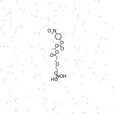 CC(OC(=O)CCOCCON(O)O)OC(=O)Oc1ccc([N+](=O)[O-])cc1